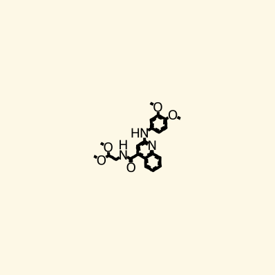 COc1ccc(Nc2cc(C(=O)NCC(OC)OC)c3ccccc3n2)cc1OC